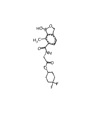 Cc1c(C(=O)NCC(=O)OC2CCC(F)(F)CC2)ccc2c1B(O)OC2